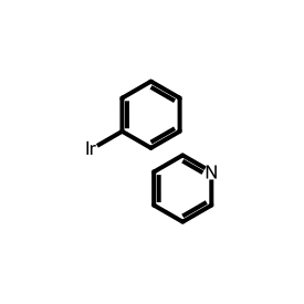 [Ir][c]1ccccc1.c1ccncc1